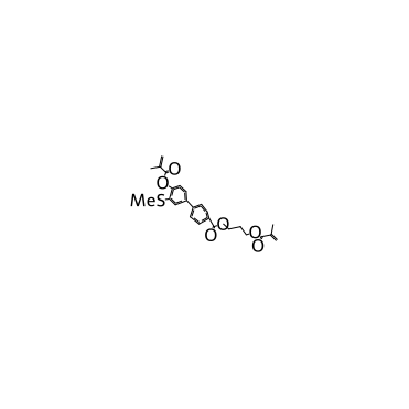 C=C(C)C(=O)OCCCOC(=O)c1ccc(-c2ccc(OC(=O)C(=C)C)c(SC)c2)cc1